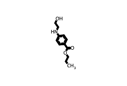 CCCOC(=O)c1ccc(NCCO)cc1